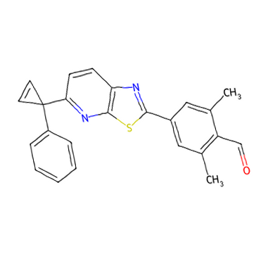 Cc1cc(-c2nc3ccc(C4(c5ccccc5)C=C4)nc3s2)cc(C)c1C=O